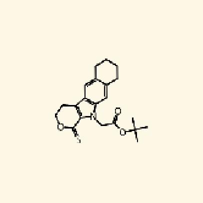 CC(C)(C)OC(=O)Cn1c2c(c3cc4c(cc31)CCCC4)CCOC2=S